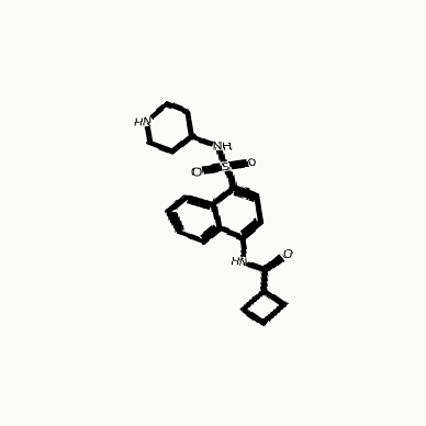 O=C(Nc1ccc(S(=O)(=O)NC2CCNCC2)c2ccccc12)C1CCC1